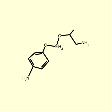 CC(CN)O[SiH2]Oc1ccc(N)cc1